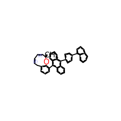 C=C1/C=C\C=C/Cc2cccc(-c3c4ccccc4c(-c4ccc(-c5cccc6ccccc56)cc4)c4ccccc34)c2O1